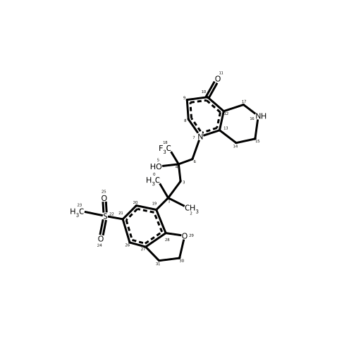 CC(C)(CC(O)(Cn1ccc(=O)c2c1CCNC2)C(F)(F)F)c1cc(S(C)(=O)=O)cc2c1OCC2